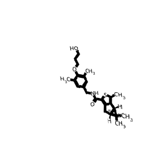 Cc1cc(CNC(=O)c2sc(C)c3c2C[C@@H]2[C@H]3C2(C)C)cc(C)c1OCCCO